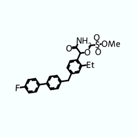 CCc1cc(Cc2ccc(-c3ccc(F)cc3)cc2)ccc1C(OCS(=O)(=O)OC)C(N)=O